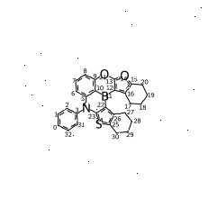 c1ccc(N2c3cccc4c3B(c3c(oc5c3CCCC5)O4)c3c2sc2c3CCCC2)cc1